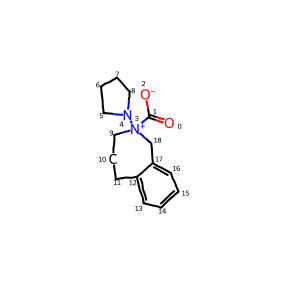 O=C([O-])[N+]1(N2CCCC2)CCCc2ccccc2C1